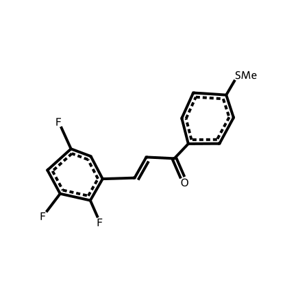 CSc1ccc(C(=O)/C=C/c2cc(F)cc(F)c2F)cc1